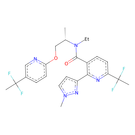 CCN(C(=O)c1ccc(C(C)(F)F)nc1-c1ccn(C)n1)[C@@H](C)COc1ccc(C(C)(F)F)cn1